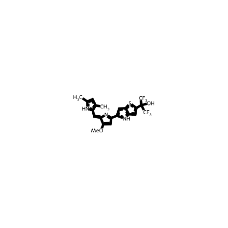 COC1=CC(c2cc3sc(C(O)(C(F)(F)F)C(F)(F)F)cc3[nH]2)=NC1=Cc1[nH]c(C)cc1C